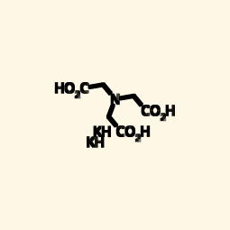 O=C(O)CN(CC(=O)O)CC(=O)O.[KH].[KH]